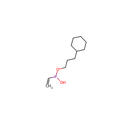 C=CP(O)OCCCC1CCCCC1